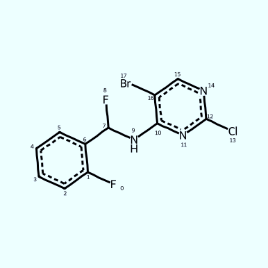 Fc1ccccc1C(F)Nc1nc(Cl)ncc1Br